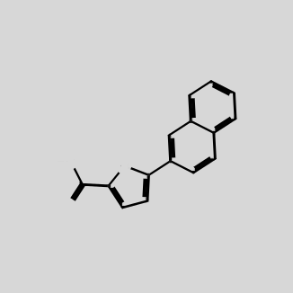 O=C(O)c1ccc(-c2ccc3ccccc3c2)o1